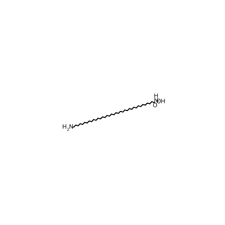 NCCCCCCCCCCCCCCCCCCCCCCCCCCCCCCCCCCCCC(=O)NO